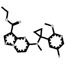 CCOC(=O)c1cnn2ccc(N(C)C3(c4cc(F)cnc4OC)CC3)nc12